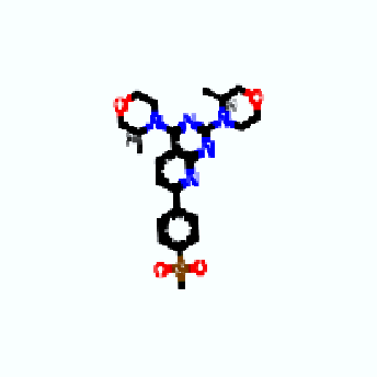 C[C@H]1COCCN1c1nc(N2CCOC[C@@H]2C)c2ccc(-c3ccc(S(C)(=O)=O)cc3)nc2n1